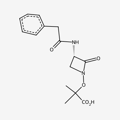 CC(C)(ON1C[C@H](NC(=O)Cc2ccccc2)C1=O)C(=O)O